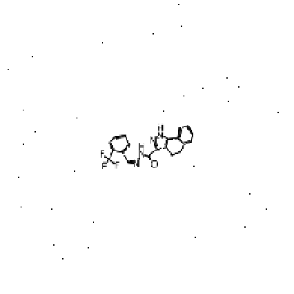 O=C(N/N=C\c1ccccc1C(F)(F)F)c1n[nH]c2c1CCc1ccccc1-2